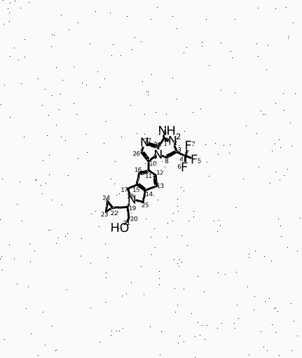 Nc1nc(C(F)(F)F)cn2c(-c3ccc4c(c3)CN(C(CO)C3CC3)C4)cnc12